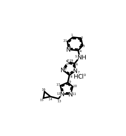 Cl.c1ccc(Nc2nc(-c3cnn(CC4CC4)c3)ns2)nc1